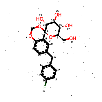 OC[C@H]1O[C@]2(OCOc3ccc(Cc4ccc(F)cc4)cc32)[C@H](O)[C@@H](O)[C@@H]1O